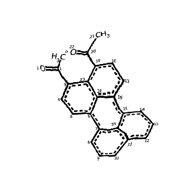 CC(=O)c1ccc2c3cccc4cccc(c5ccc(C(C)=O)c1c25)c43